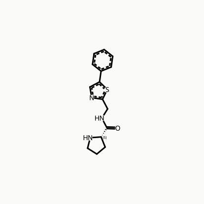 O=C(NCc1ncc(-c2ccccc2)s1)[C@@H]1CCCN1